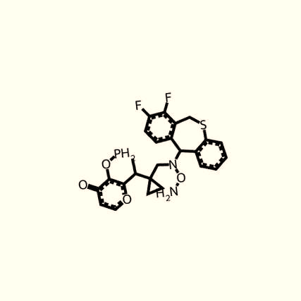 CC(c1occc(=O)c1OP)C1(CN(ON)C2c3ccccc3SCc3c2ccc(F)c3F)CC1